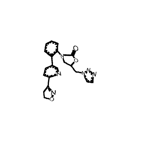 O=C1OC(Cn2ccnn2)CN1c1ccccc1-c1ccc(C2=NOCC2)nc1